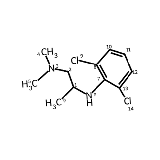 CC(CN(C)C)Nc1c(Cl)cccc1Cl